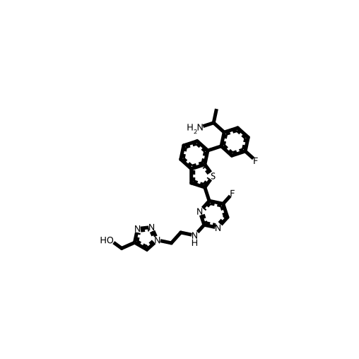 CC(N)c1ccc(F)cc1-c1cccc2cc(-c3nc(NCCn4cc(CO)nn4)ncc3F)sc12